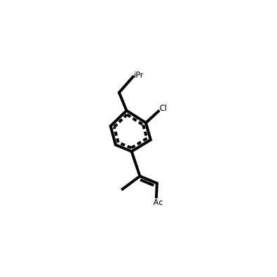 CC(=O)C=C(C)c1ccc(CC(C)C)c(Cl)c1